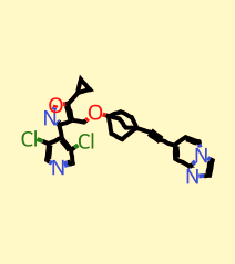 Clc1cncc(Cl)c1-c1noc(C2CC2)c1COC12CCC(C#Cc3ccn4ccnc4c3)(CC1)CC2